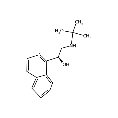 CC(C)(C)NC[C@@H](O)c1nccc2ccccc12